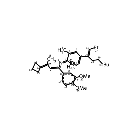 C/C=C(\C=C(C)/C(=N/C(=C\C(C)=C1CCC1)c1ccc(OC)c(OC)c1)C(C)CC)C(=C/CC)/CCC(C)CC